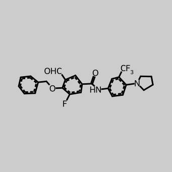 O=Cc1cc(C(=O)Nc2ccc(N3CCCC3)c(C(F)(F)F)c2)cc(F)c1OCc1ccccc1